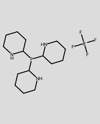 C1CCC(P(C2CCCCN2)C2CCCCN2)NC1.F[B-](F)(F)F